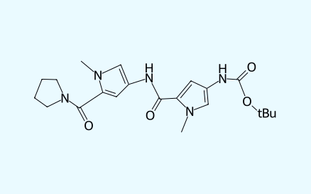 Cn1cc(NC(=O)OC(C)(C)C)cc1C(=O)Nc1cc(C(=O)N2CCCC2)n(C)c1